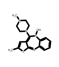 Cc1cc2c(s1)=Nc1ccccc1N(O)C=2N1CCN(C)CC1